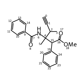 C#CC(C)C(C)(NC(=O)c1ccccc1)C(C(=O)OC)c1ccccc1